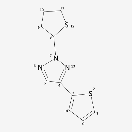 c1csc(-c2cnn(C3CCCS3)n2)c1